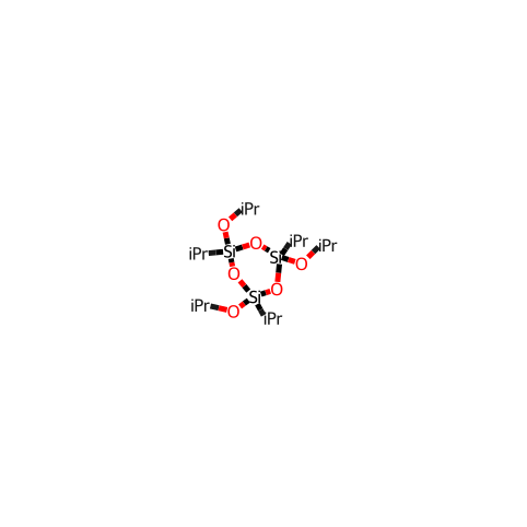 CC(C)O[Si]1(C(C)C)O[Si](OC(C)C)(C(C)C)O[Si](OC(C)C)(C(C)C)O1